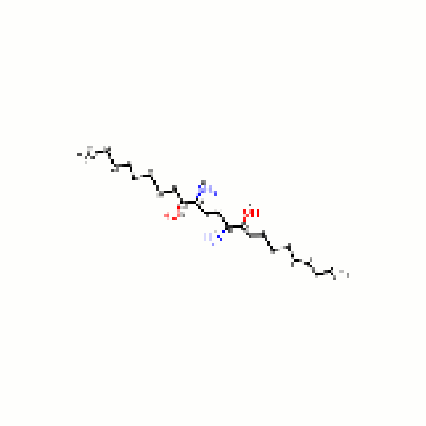 CCCCCCCCC(O)C(N)CCC(N)C(O)CCCCCCCC